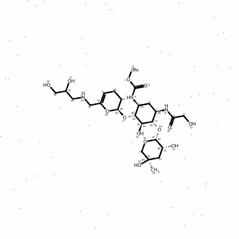 CC(C)(C)OC(=O)N[C@H]1C[C@@H](NC(=O)CO)[C@H](O[C@H]2OC[C@](C)(O)C[C@H]2O)[C@@H](O)[C@@H]1O[C@@H]1CCC=C(CNCC(O)CO)O1